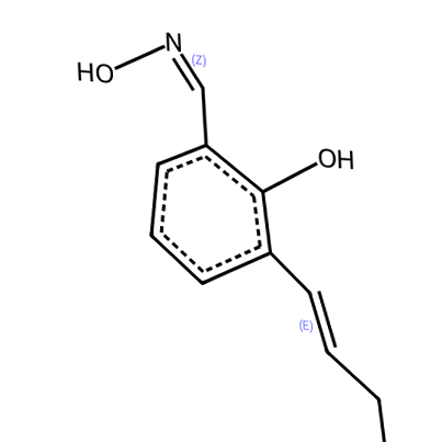 CC/C=C/c1cccc(/C=N\O)c1O